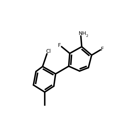 Cc1ccc(Cl)c(-c2ccc(F)c(N)c2F)c1